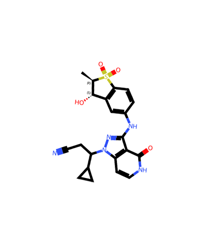 C[C@@H]1[C@@H](O)c2cc(Nc3nn(C(CC#N)C4CC4)c4cc[nH]c(=O)c34)ccc2S1(=O)=O